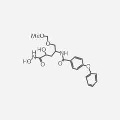 COCOCC(CC(O)C(=O)NO)NC(=O)c1ccc(Oc2ccccc2)cc1